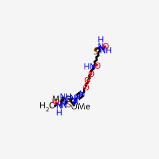 C=CC(=O)Nc1cc(N)nc(Sc2c(OC)nc(N3CCN(CCOCCOCCOCCNC(=O)CCCCC4SCC5NC(=O)NC54)CC3)nc2OC)n1